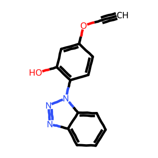 C#COc1ccc(-n2nnc3ccccc32)c(O)c1